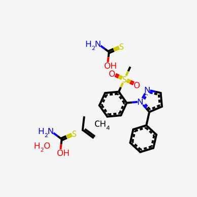 C.C=CC.CS(=O)(=O)c1ccccc1-n1nccc1-c1ccccc1.NC(O)=S.NC(O)=S.O